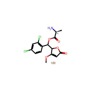 Br.COC1=CC(=O)OC1C(OC(=O)[C@H](C)N)c1ccc(Cl)cc1Cl